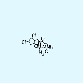 CN1C(=O)NCC1C(=O)NCC1=C(Cl)CC(Cl)C=C1Cl